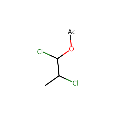 CC(=O)OC(Cl)C(C)Cl